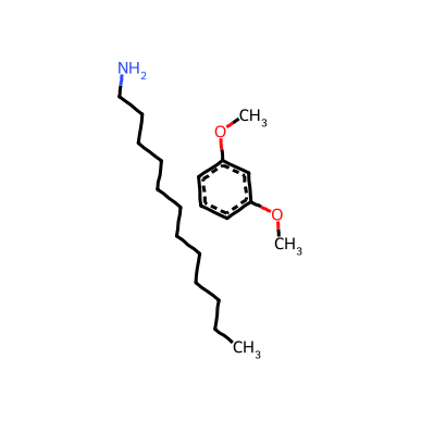 CCCCCCCCCCCCN.COc1cccc(OC)c1